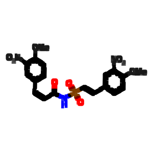 COc1ccc(/C=C\C(=O)NS(=O)(=O)/C=C/c2ccc(OC)c([N+](=O)[O-])c2)cc1[N+](=O)[O-]